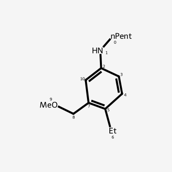 CCCCCNc1ccc(CC)c(COC)c1